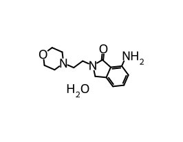 Nc1cccc2c1C(=O)N(CCN1CCOCC1)C2.O